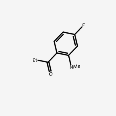 CCC(=O)c1ccc(F)cc1NC